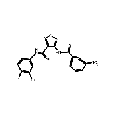 N=C(Nc1ccc(F)c(Br)c1)c1nonc1NC(=O)c1cccc([N+](=O)[O-])c1